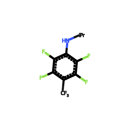 CC(C)Nc1c(F)c(F)c(C(F)(F)F)c(F)c1F